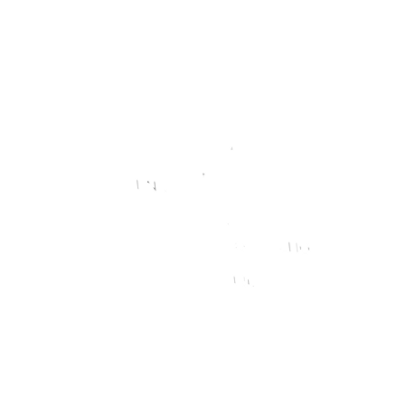 CC(C)(C)OC=O.CC=C1CCCNC1